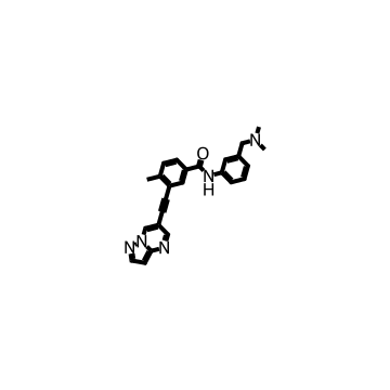 Cc1ccc(C(=O)Nc2cccc(CN(C)C)c2)cc1C#Cc1cnc2ccnn2c1